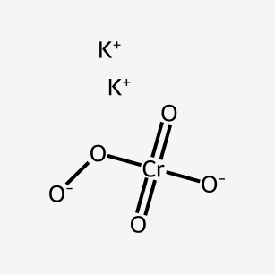 [K+].[K+].[O]=[Cr](=[O])([O-])[O][O-]